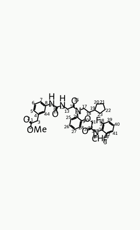 COC(=O)Cc1cccc(NC(=O)NCC(=O)N(CCC2CCCC2)c2ccccc2OCC(=O)N(C)c2c(F)cccc2F)c1